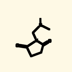 CN(C)CN1C(=O)CCC1=O